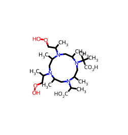 CC(COO)N1CC(C)N(C(C)COO)CC(C)N(C(C)(C)C(=O)O)CC(C)N(C(C)C(=O)O)CC1C